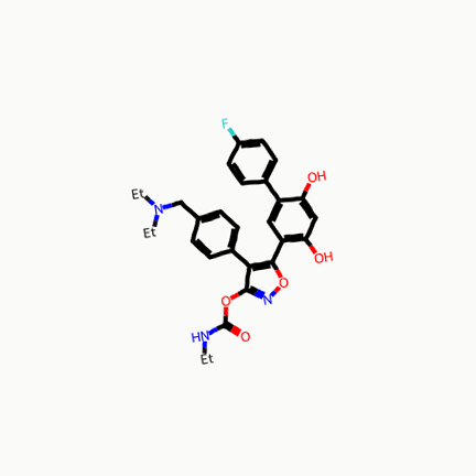 CCNC(=O)Oc1noc(-c2cc(-c3ccc(F)cc3)c(O)cc2O)c1-c1ccc(CN(CC)CC)cc1